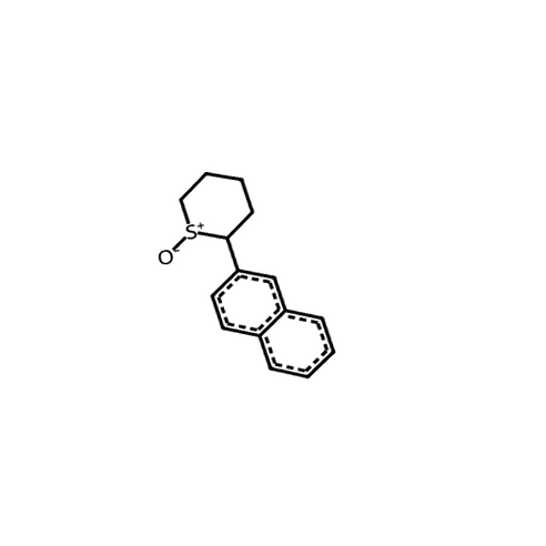 [O-][S+]1CCCCC1c1ccc2ccccc2c1